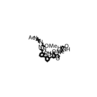 COc1nc(-c2cccc(-c3cccc(-c4cc5c(c(OC)n4)C(NCC4CCC(=O)N4)CO5)c3C)c2C)cnc1CN1CC2(C1)CN(C(C)=O)C2